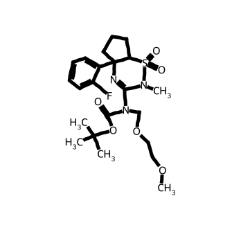 COCCOCN(C(=O)OC(C)(C)C)C1=NC2(c3ccccc3F)CCCC2S(=O)(=O)N1C